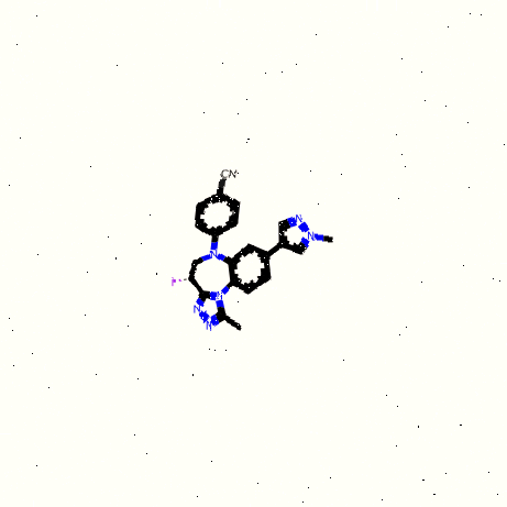 Cc1nnc2n1-c1ccc(-c3cnn(C)c3)cc1N(c1ccc(C#N)cc1)C[C@H]2I